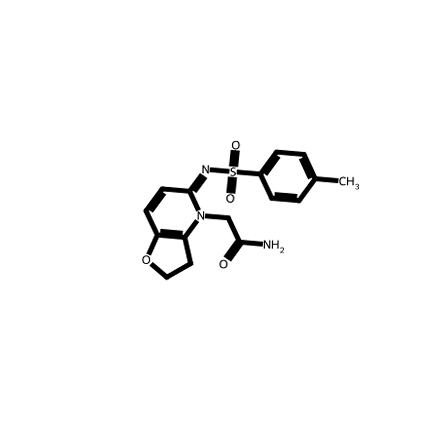 Cc1ccc(S(=O)(=O)N=c2ccc3c(n2CC(N)=O)CCO3)cc1